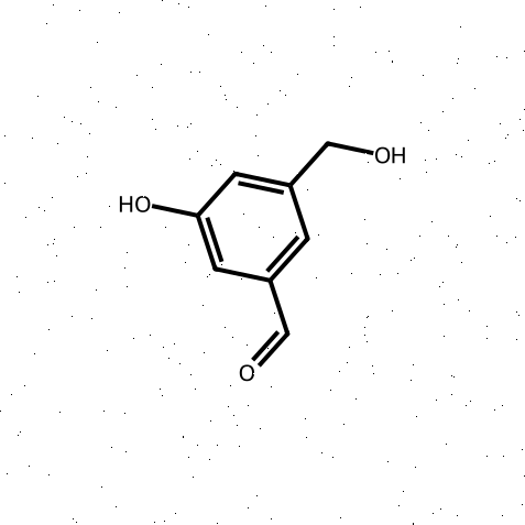 O=Cc1cc(O)cc(CO)c1